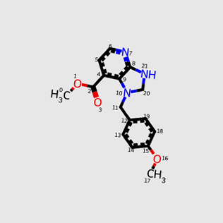 COC(=O)c1ccnc2c1N(Cc1ccc(OC)cc1)CN2